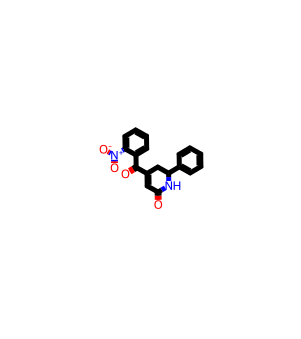 O=C1C=C(C(=O)c2ccccc2[N+](=O)[O-])CC(c2ccccc2)N1